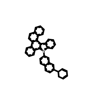 C1=CCC(c2ccc3ccc(-n4c5ccccc5c5c6c7ccccc7ccc6c6ccccc6c54)cc3c2)C=C1